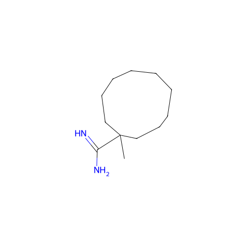 CC1(C(=N)N)CCCCCCCCC1